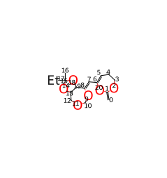 C=C1OCCC=C(C=C2OCOCC3OC(C)(CC)OC23)O1